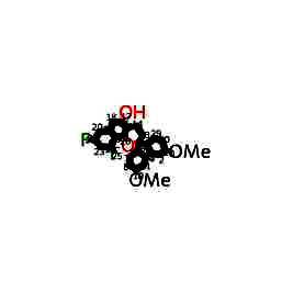 COc1ccc(C2(c3ccc(OC)cc3)C=Cc3c(O)cc4cc(F)cc(F)c4c3O2)cc1